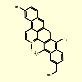 Cc1c2c(c(C)c3cc(CC(C)(C)C)ccc13)-c1c3c(cc4ccc(C(C)(C)C)cc4c3cc[n+]1C)O2